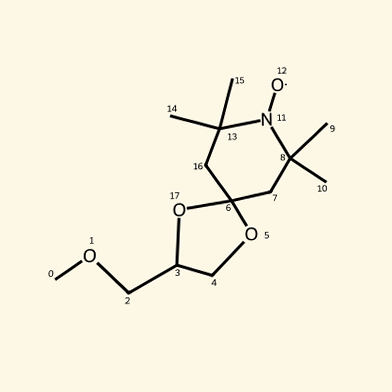 COCC1COC2(CC(C)(C)N([O])C(C)(C)C2)O1